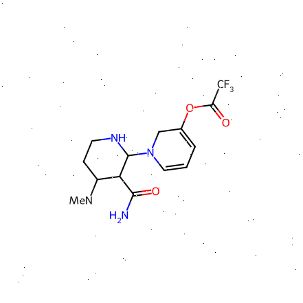 CNC1CCNC(N2C=CC=C(OC(=O)C(F)(F)F)C2)C1C(N)=O